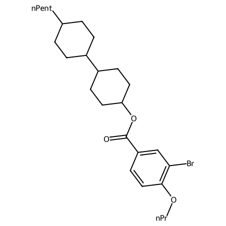 CCCCCC1CCC(C2CCC(OC(=O)c3ccc(OCCC)c(Br)c3)CC2)CC1